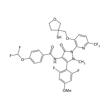 COc1cc(F)c(-c2c(NC(=O)c3ccc(OC(F)F)cc3)c(=O)n(-c3nc(C(F)(F)F)ccc3OCC3(S)CCOC3)n2C)c(F)c1